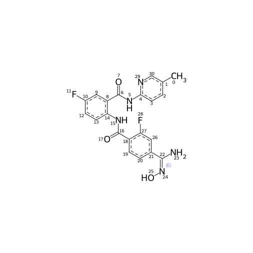 Cc1ccc(NC(=O)c2cc(F)ccc2NC(=O)c2ccc(/C(N)=N\O)cc2F)nc1